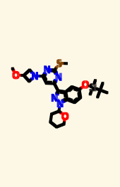 COC1CN(c2cc(-c3nn(C4CCCCO4)c4ccc(O[Si](C)(C)C(C)(C)C)cc34)nc(SC)n2)C1